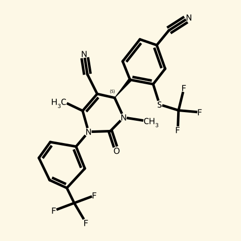 CC1=C(C#N)[C@@H](c2ccc(C#N)cc2SC(F)(F)F)N(C)C(=O)N1c1cccc(C(F)(F)F)c1